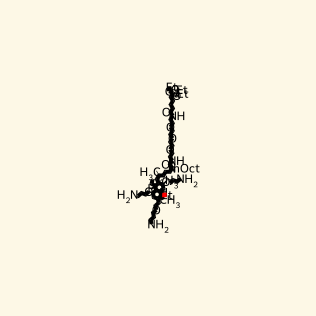 CCCCCCCCN(CCC[C@@H](C)[C@H]1CC[C@H]2C3[C@H](OCCCN)CC(CCOCCCN)[C@](C)(CC)[C@H]3C[C@H](OCCCN)[C@]12C)C(=O)NCCOCCOCCOCCNC(=O)CCCC[Si](OCC)(OCC)OCC